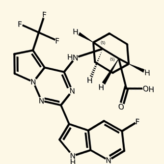 O=C(O)[C@H]1[C@H]2CC[C@H](CC2)[C@@H]1Nc1nc(-c2c[nH]c3ncc(F)cc23)nn2ccc(C(F)(F)F)c12